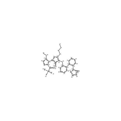 CCCCc1cn(-c2c(C(=O)C(F)(F)F)ccn2CC)c(=O)n1Cc1cnccc1-c1ccccc1-c1nnn[nH]1